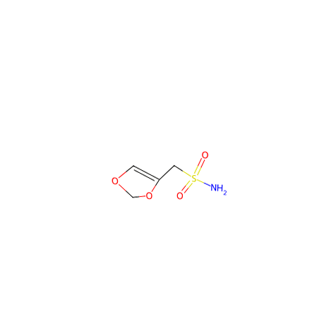 NS(=O)(=O)CC1=COCO1